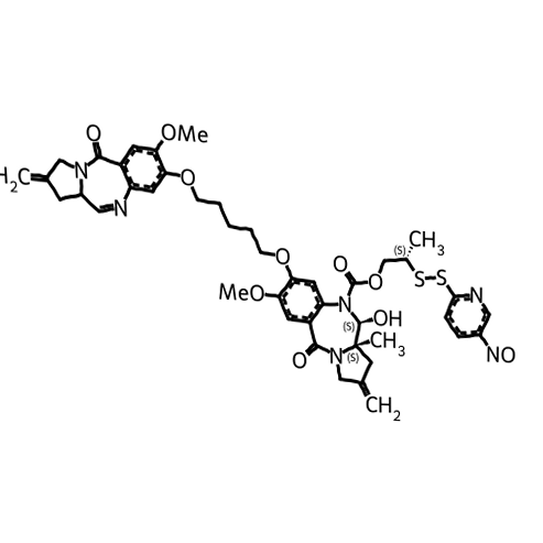 C=C1CC2C=Nc3cc(OCCCCCOc4cc5c(cc4OC)C(=O)N4CC(=C)C[C@@]4(C)[C@H](O)N5C(=O)OC[C@H](C)SSc4ccc(N=O)cn4)c(OC)cc3C(=O)N2C1